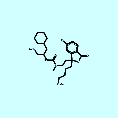 CNCC(CC1CCCCC1)NC(=O)N(C)CCC1(CCCCOC)OC(=O)c2ccc(F)cc21